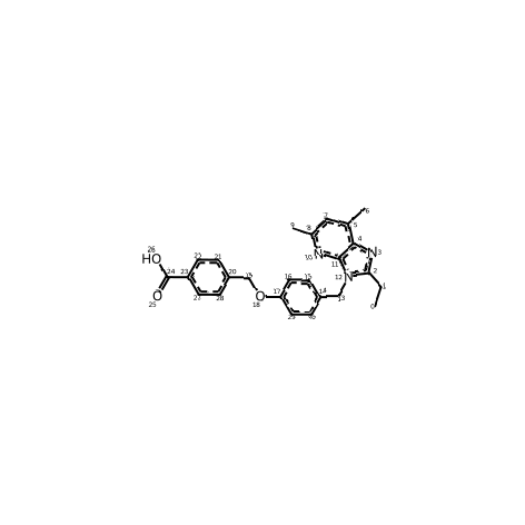 CCc1nc2c(C)cc(C)nc2n1Cc1ccc(OCc2ccc(C(=O)O)cc2)cc1